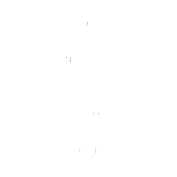 CCc1ccc(OCC(=O)O)cn1